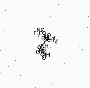 CC1(C)C(=O)N(c2ccc(C#N)c(C(F)(F)F)c2)C(=O)N1CCCCNc1cccc2c1C(=O)N(C1CCC(=O)NC1=O)C2=O